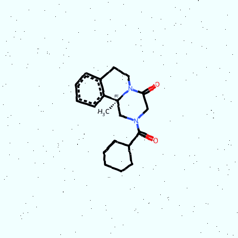 C[C@@]12CN(C(=O)C3CCCCC3)CC(=O)N1CCc1ccccc12